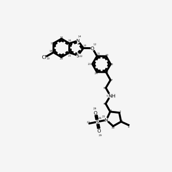 CC1CC(CNCCc2ccc(Oc3nc4ccc(Cl)cc4s3)cc2)N(S(C)(=O)=O)C1